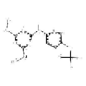 CCOc1nc(Nc2ccc(OC(F)(F)Cl)cc2)nc(NC(C)(C)C)n1